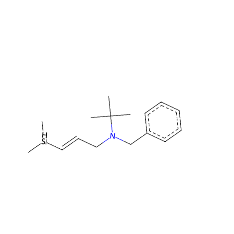 C[SiH](C)C=CCN(Cc1ccccc1)C(C)(C)C